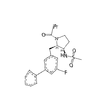 CC(C)C(=O)N1CC[C@@H](NS(C)(=O)=O)[C@H]1Cc1cc(F)cc(-c2ccccc2)c1